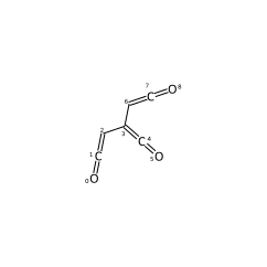 O=C=CC(=C=O)C=C=O